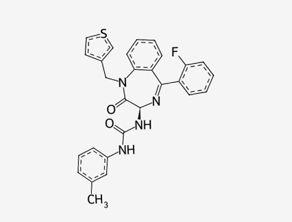 Cc1cccc(NC(=O)N[C@@H]2N=C(c3ccccc3F)c3ccccc3N(Cc3ccsc3)C2=O)c1